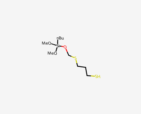 CCCC[Si](OC)(OC)OCSCCCS